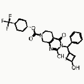 Cc1nc2c(c(=O)n1C(c1ccccc1)C1CC(O)C1)CCN(C(=O)O[C@H]1CC[C@H](C(F)(F)F)CC1)C2